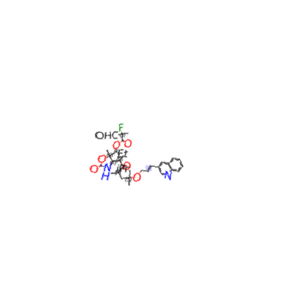 CC[C@@H](OC(=O)[C@@](C)(F)C=O)[C@@]1(C)OC(=O)N[C@@H]1[C@@H](C)C(=O)[C@H](C)C[C@](C)(CC(C)C)OC/C=C/c1cnc2ccccc2c1